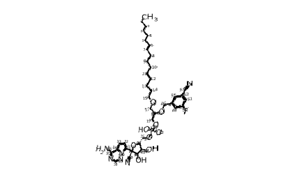 CCCCCCCCCCCCCCCCOC[C@H](COP(=O)(O)OC[C@H]1O[C@@](C#N)(c2ccc3c(N)ncnn23)[C@H](O)[C@@H]1O)OCc1cc(F)cc(C#N)c1